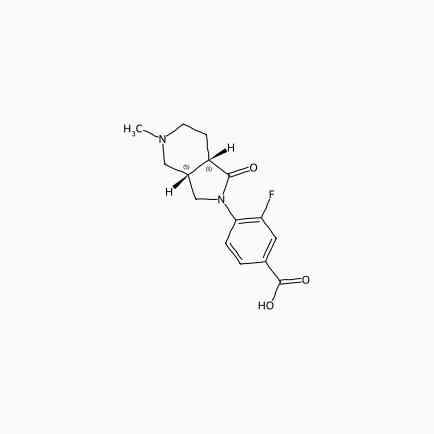 CN1CC[C@@H]2C(=O)N(c3ccc(C(=O)O)cc3F)C[C@@H]2C1